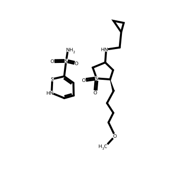 COCCCC[C@@H]1CC(NCC2CC2)CS1(=O)=O.NS(=O)(=O)C1=CC=CNS1